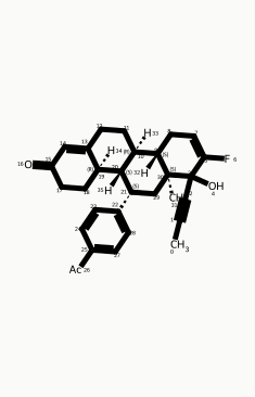 CC#CC1(O)C(F)=CC[C@H]2[C@@H]3CCC4=CC(=O)CC[C@@H]4[C@H]3[C@@H](c3ccc(C(C)=O)cc3)C[C@@]21C